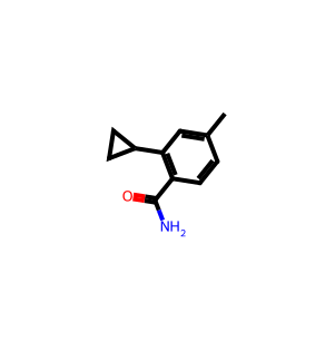 Cc1ccc(C(N)=O)c(C2CC2)c1